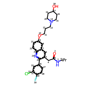 CC(C)NC(=O)Cc1cc2cc(OCCCN3CCC(O)CC3)ccc2nc1-c1ccc(F)c(Cl)c1